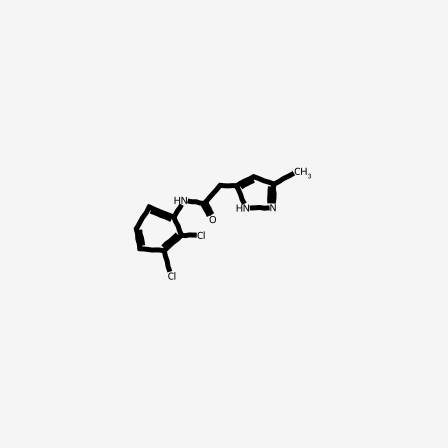 Cc1cc(CC(=O)Nc2cccc(Cl)c2Cl)[nH]n1